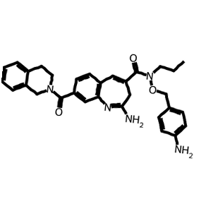 CCCN(OCc1ccc(N)cc1)C(=O)C1=Cc2ccc(C(=O)N3CCc4ccccc4C3)cc2N=C(N)C1